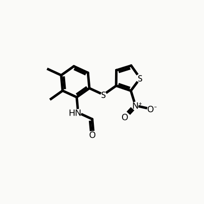 Cc1ccc(Sc2ccsc2[N+](=O)[O-])c(NC=O)c1C